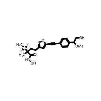 COC(CO)c1ccc(C#Cc2cc(CCC(C)(C(=O)NO)S(C)(=O)=O)no2)cc1